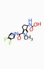 Cn1cc2c(c1C(=O)Nc1ccc(F)c(F)c1)CCC2NC(=O)O